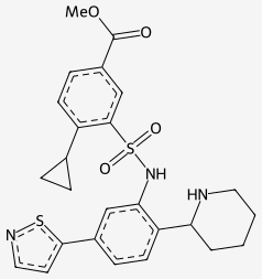 COC(=O)c1ccc(C2CC2)c(S(=O)(=O)Nc2cc(-c3ccns3)ccc2C2CCCCN2)c1